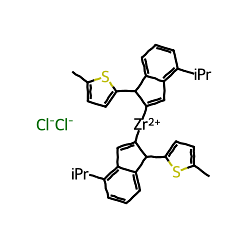 Cc1ccc(C2[C]([Zr+2][C]3=Cc4c(C(C)C)cccc4C3c3ccc(C)s3)=Cc3c(C(C)C)cccc32)s1.[Cl-].[Cl-]